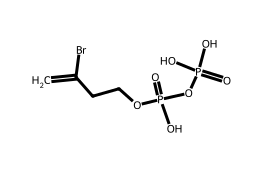 C=C(Br)CCOP(=O)(O)OP(=O)(O)O